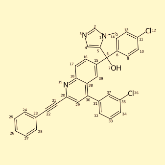 Cn1cncc1C(O)(c1ccc(Cl)cc1)c1ccc2nc(C#Cc3ccccc3)cc(-c3cccc(Cl)c3)c2c1